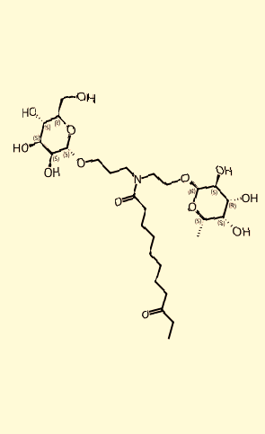 CCC(=O)CCCCCCCC(=O)N(CCCO[C@H]1O[C@H](CO)[C@@H](O)[C@H](O)[C@@H]1O)CCO[C@@H]1O[C@@H](C)[C@@H](O)[C@@H](O)[C@@H]1O